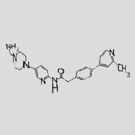 Cc1cc(-c2ccc(CC(=O)Nc3ccc(N4CCN(CN)CC4)cn3)cc2)ccn1